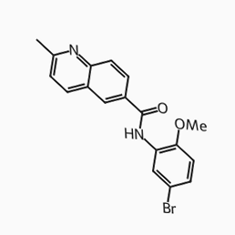 COc1ccc(Br)cc1NC(=O)c1ccc2nc(C)ccc2c1